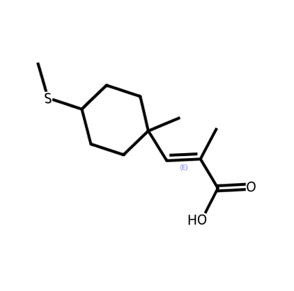 CSC1CCC(C)(/C=C(\C)C(=O)O)CC1